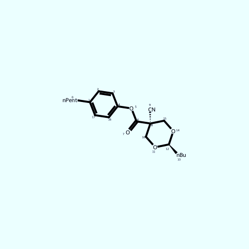 CCCCCc1ccc(OC(=O)[C@]2(C#N)CO[C@H](CCCC)OC2)cc1